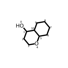 OC1CCOC2CCCCC12